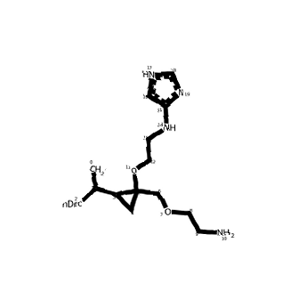 [CH2]C(CCCCCCCCCC)C1CC1(COCCN)OCCNc1c[nH]cn1